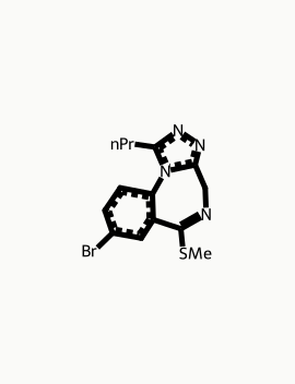 CCCc1nnc2n1-c1ccc(Br)cc1C(SC)=NC2